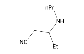 CCCNC(CC)CC#N